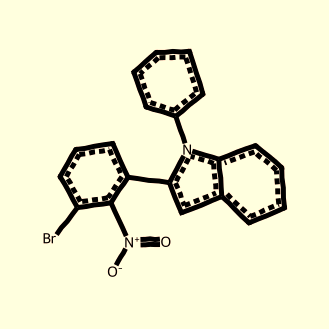 O=[N+]([O-])c1c(Br)cccc1-c1cc2ccccc2n1-c1ccccc1